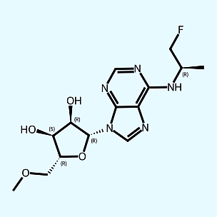 COC[C@H]1O[C@@H](n2cnc3c(N[C@H](C)CF)ncnc32)[C@H](O)[C@@H]1O